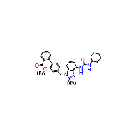 CCCCc1nc2c(NC(=O)NC3CCCCC3)cccc2n1Cc1ccc(-c2ccccc2C(=O)OC(C)(C)C)cc1